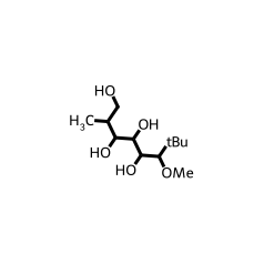 COC(C(O)C(O)C(O)C(C)CO)C(C)(C)C